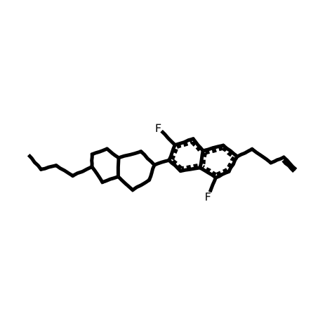 C=CCCc1cc(F)c2cc(C3CCC4CC(CCCC)CCC4C3)c(F)cc2c1